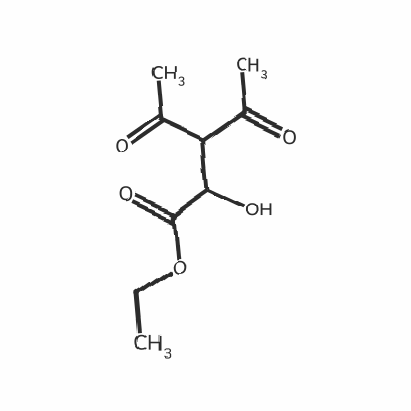 CCOC(=O)C(O)C(C(C)=O)C(C)=O